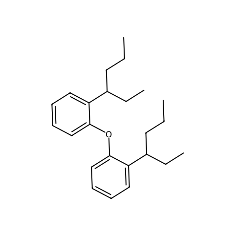 CCCC(CC)c1ccccc1Oc1ccccc1C(CC)CCC